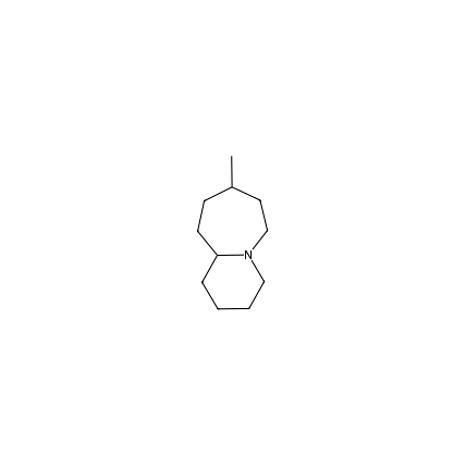 CC1CCC2CCCCN2CC1